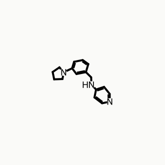 c1cc(CNc2ccncc2)cc(N2CCCC2)c1